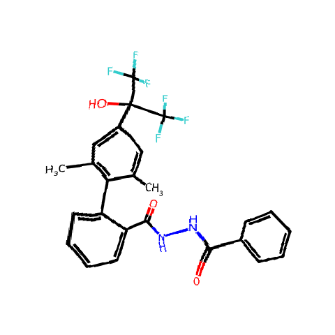 Cc1cc(C(O)(C(F)(F)F)C(F)(F)F)cc(C)c1-c1ccccc1C(=O)NNC(=O)c1ccccc1